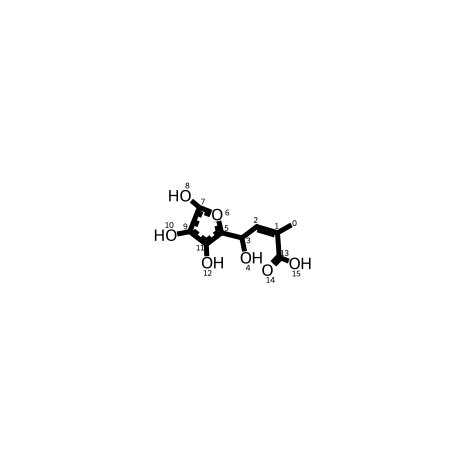 CC(=CC(O)c1oc(O)c(O)c1O)C(=O)O